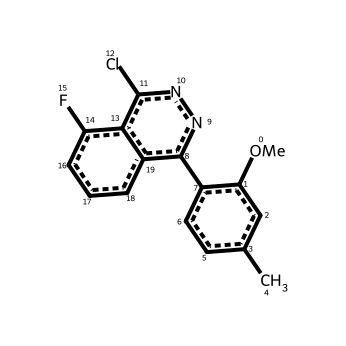 COc1cc(C)ccc1-c1nnc(Cl)c2c(F)cccc12